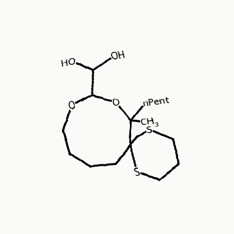 CCCCCC1(C)OC(C(O)O)OCCCCC12SCCCS2